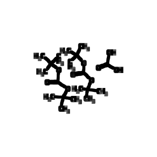 CC(C)(C)OC(=O)OC(C)(C)C.CC(C)(C)OC(=O)OC(C)(C)C.O=C(O)O